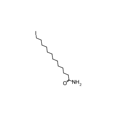 NC(=O)CCCCCCCCCCCCI